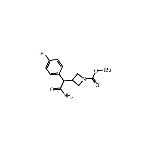 CC(C)c1ccc(C(C(N)=O)C2CN(C(=O)OC(C)(C)C)C2)cc1